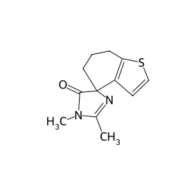 CC1=NC2(CCCc3sccc32)C(=O)N1C